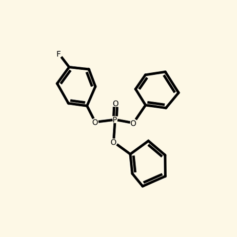 O=P(Oc1ccccc1)(Oc1ccccc1)Oc1ccc(F)cc1